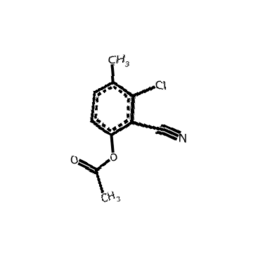 CC(=O)Oc1ccc(C)c(Cl)c1C#N